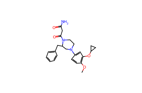 COc1ccc(N2CCN(C(=O)CC(N)=O)C(Cc3ccccc3)C2)cc1OC1CC1